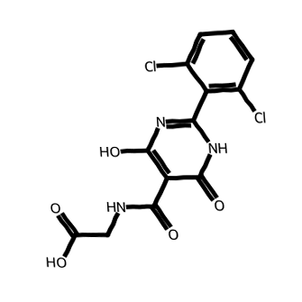 O=C(O)CNC(=O)c1c(O)nc(-c2c(Cl)cccc2Cl)[nH]c1=O